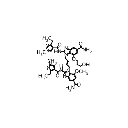 CCc1nn(C)cc1C(=O)Nc1nc2cc(C(N)=O)cc(OC)c2n1CC=CCn1c(NC(=O)c2cn(C)nc2CC)nc2cc(C(N)=O)cc(OCCCO)c21